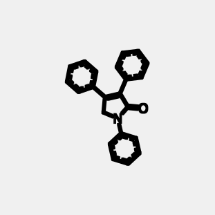 O=C1C(c2ccccc2)=C(c2ccccc2)CN1c1ccccc1